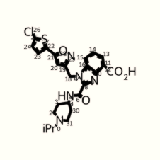 CC(C)N1CCC(NC(=O)c2nc3c(C(=O)O)cccc3n2Cc2cc(-c3ccc(Cl)s3)on2)CC1